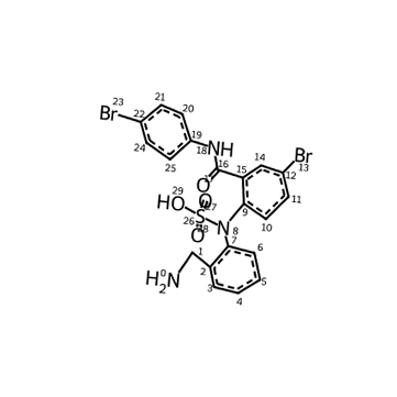 NCc1ccccc1N(c1ccc(Br)cc1C(=O)Nc1ccc(Br)cc1)S(=O)(=O)O